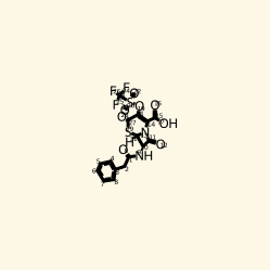 O=C(Cc1ccccc1)N[C@@H]1C(=O)N2C(C(=O)O)=C(OS(=O)(=O)C(F)(F)F)C(=O)S[C@@H]12